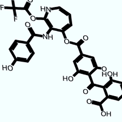 O=C(NC1=C(OC(=O)C(F)(F)F)NC=CC=C1OC(=O)c1cc(O)c(C(=O)c2c(O)cccc2C(=O)O)c(O)c1)c1ccc(O)cc1